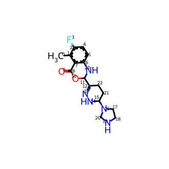 Cc1c(F)ccc2c1C(=O)OC(C1=NNC(N3CCNC3)CC1)N2